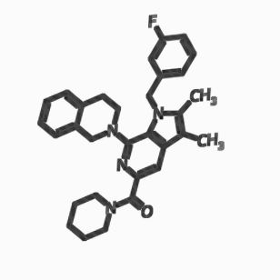 Cc1c(C)n(Cc2cccc(F)c2)c2c(N3CCc4ccccc4C3)nc(C(=O)N3CCCCC3)cc12